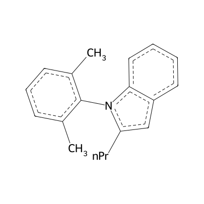 CCCc1cc2ccccc2n1-c1c(C)cccc1C